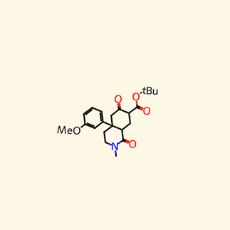 COc1cccc(C23CCN(C)C(=O)C2CC(C(=O)OC(C)(C)C)C(=O)C3)c1